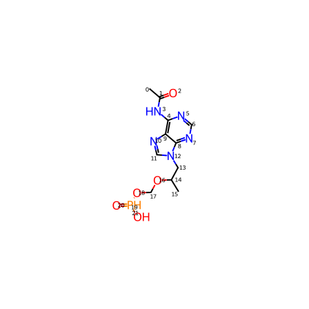 CC(=O)Nc1ncnc2c1ncn2CC(C)OCO[PH](=O)O